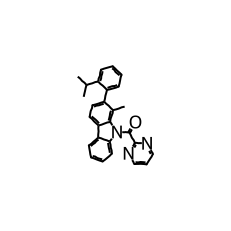 Cc1c(-c2ccccc2C(C)C)ccc2c3ccccc3n(C(=O)c3ncccn3)c12